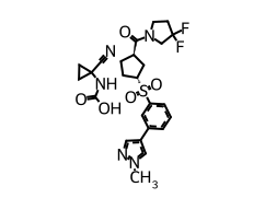 Cn1cc(-c2cccc(S(=O)(=O)[C@@H]3CC[C@@H](C(=O)N4CCC(F)(F)C4)C3)c2)cn1.N#CC1(NC(=O)O)CC1